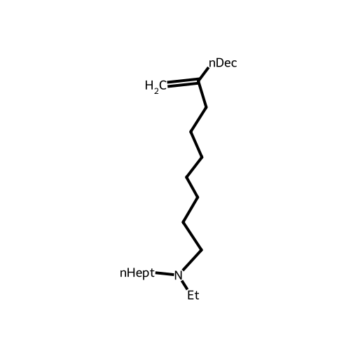 C=C(CCCCCCCCCC)CCCCCCCN(CC)CCCCCCC